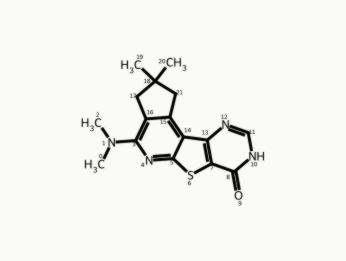 CN(C)c1nc2sc3c(=O)[nH]cnc3c2c2c1CC(C)(C)C2